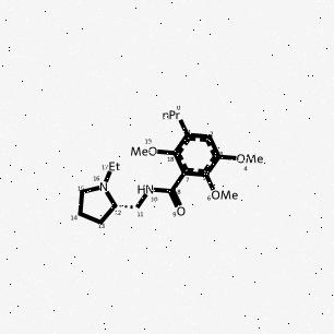 CCCc1cc(OC)c(OC)c(C(=O)NC[C@@H]2CCCN2CC)c1OC